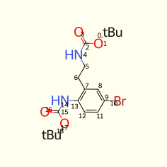 CC(C)(C)OC(=O)NCCc1cc(Br)ccc1NC(=O)OC(C)(C)C